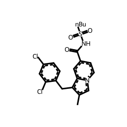 CCCCS(=O)(=O)NC(=O)c1ccn2cc(C)c(Cc3ccc(Cl)cc3Cl)c2c1